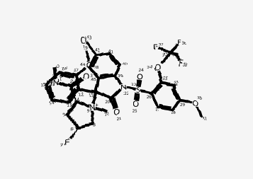 CNC(=O)[C@@H]1C[C@H](F)C[N+]1(C)C1(c2ccccc2OC)C(=O)N(S(=O)(=O)c2ccc(OC)cc2OC(F)(F)F)c2ccc(Cl)cc21